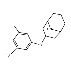 Cc1cc(OC2CC3CCCC(C2)N3)cc(C(F)(F)F)c1